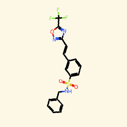 O=S(=O)(NCc1ccccc1)c1cccc(C=Cc2noc(C(F)(F)F)n2)c1